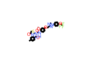 COCc1ccc(C)cc1N1C(=O)CSC1NC(=O)Nc1ccc(OCc2ncn(-c3ccc(OC(F)(F)F)cc3)n2)cc1OC